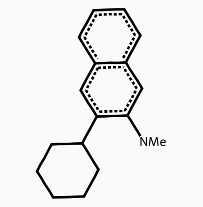 CNc1cc2ccccc2cc1C1CCCCC1